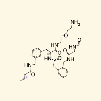 C/C=C/C(=O)NCc1cccc(C[C@H](NC(=O)Cc2ccccc2CNC(=O)CNC=O)C(=O)NCCOCCN)c1